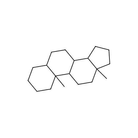 CC12CCCC1C1CCC3CCCCC3(C)C1CC2